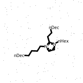 CCCCCCCCCCCCCC[n+]1ccn(CCCCCC)c1CCCCCCCCCCCC